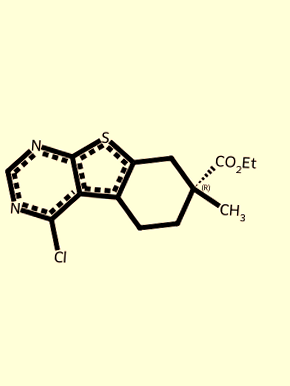 CCOC(=O)[C@]1(C)CCc2c(sc3ncnc(Cl)c23)C1